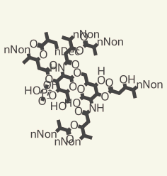 CCCCCCCCCCCC(C)C(=O)OC(CC(=O)OC1C(NC(=O)CC(OC(=O)C(C)CCCCCCCCC)C(C)CCCCCCCCC)C(OCC2OC(O)C(NC(=O)CC(OC(=O)C(C)CCCCCCCCC)C(C)CCCCCCCCC)C(OC(=O)CC(O)C(C)CCCCCCCCC)C2O)OC(CO)C1O[P+]([O-])(O)O)C(C)CCCCCCCCC